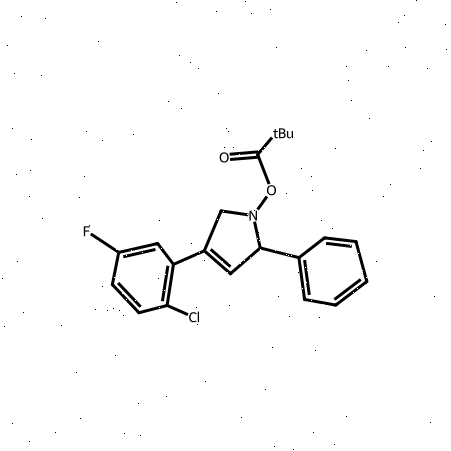 CC(C)(C)C(=O)ON1CC(c2cc(F)ccc2Cl)=CC1c1ccccc1